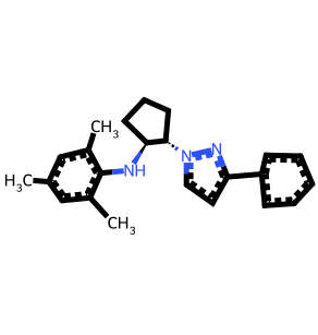 Cc1cc(C)c(N[C@H]2CCC[C@@H]2n2ccc(-c3ccccc3)n2)c(C)c1